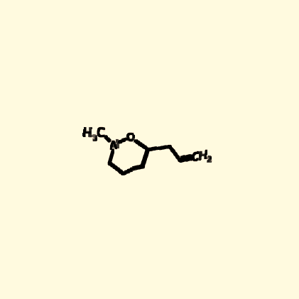 C=CCC1CC[CH2][Al]([CH3])[O]1